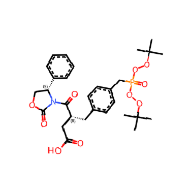 CC(C)(C)OOP(=O)(Cc1ccc(C[C@H](CC(=O)O)C(=O)N2C(=O)OC[C@@H]2c2ccccc2)cc1)OOC(C)(C)C